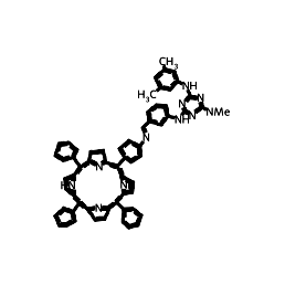 CNc1nc(Nc2cc(C)cc(C)c2)nc(Nc2cccc(/C=N/c3ccc(-c4c5nc(c(-c6ccccc6)c6ccc([nH]6)c(-c6ccccc6)c6nc(c(-c7ccccc7)c7ccc4[nH]7)C=C6)C=C5)cc3)c2)n1